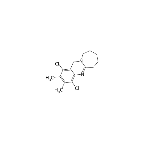 Cc1c(C)c(Cl)c2c(c1Cl)CN1CCCCCC1=N2